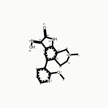 COc1ncccc1-c1cc2c(c3c1CCN(C)C3)NC(=O)/C2=N/O